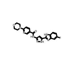 O=C(Nc1cc(-c2nc3cc(F)ccc3[nH]2)[nH]n1)c1ccc(N2CCOCC2)nc1